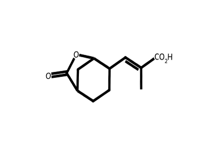 CC(=CC1CCC2CC1OC2=O)C(=O)O